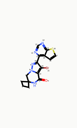 O=C1NC2(CCC2)Cn2nc(-c3ncnc4sccc34)c(Br)c21